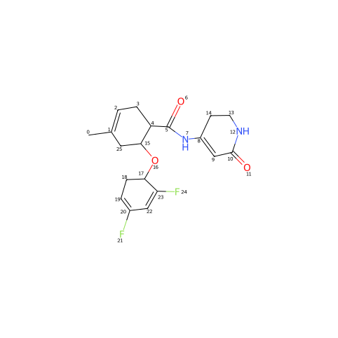 CC1=CCC(C(=O)NC2=CC(=O)NCC2)C(OC2CC=C(F)C=C2F)C1